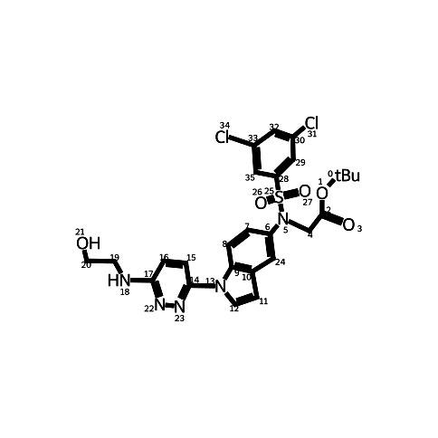 CC(C)(C)OC(=O)CN(c1ccc2c(ccn2-c2ccc(NCCO)nn2)c1)S(=O)(=O)c1cc(Cl)cc(Cl)c1